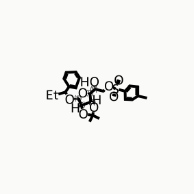 CCC(O[C@H]1O[C@H]([C@H](O)COS(=O)(=O)c2ccc(C)cc2)[C@@H]2OC(C)(C)O[C@H]12)c1ccccc1